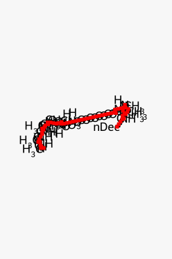 CCCCCCCCCCCCCCCC(=O)Nc1ccc(C2=N[C@@H](CC(=O)Nc3ccc(OCCOCCOCCOCCOCCOCCOCCOCCOCCNC(=O)CCNC(=O)c4nc(NC(=O)CCNC(=O)c5cc(NC(=O)c6nc(NC(=O)CCNC(=O)c7cc(NC(=O)c8nccn8C)cn7C)cn6C)cn5C)cn4C)cc3)c3nnc(C)n3-c3sc(C)c(C)c32)cc1